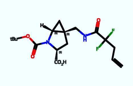 C=CCC(F)(F)C(=O)NC[C@@]12C[C@@H](C(=O)O)N(C(=O)OC(C)(C)C)[C@@H]1C2